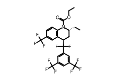 CCOC(=O)N1c2ccc(C(F)(F)F)cc2[C@H](C(F)(F)c2cc(C(F)(F)F)cc(C(F)(F)F)c2)C[C@H]1CC